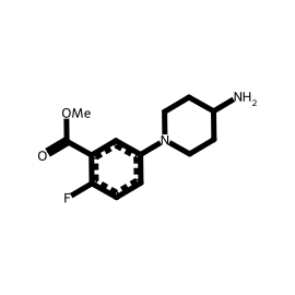 COC(=O)c1cc(N2CCC(N)CC2)ccc1F